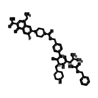 CCn1cc(C(=O)O)c(=O)c2cc(F)c(N3CCN(C(=O)OCc4ccc(NC(=O)[C@H](CC5CCNCC5)NC(=O)[C@@H](NC(=O)OCc5ccccc5)C(C)C)cc4)CC3)cc21